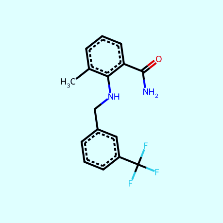 Cc1cccc(C(N)=O)c1NCc1cccc(C(F)(F)F)c1